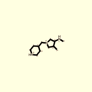 CNC1CN(CC2CCNCC2)CC1C